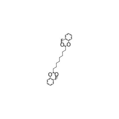 O=C(CCCCCCCCC(=O)Oc1ccccc1F)Oc1ccccc1F